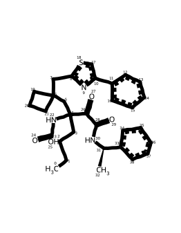 CCCCC(CC1(Cc2nc(-c3ccccc3)cs2)CCC1)(NC(=O)O)C(=O)C(=O)N[C@H](C)c1ccccc1